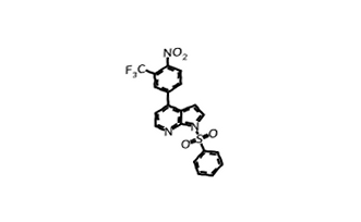 O=[N+]([O-])c1ccc(-c2ccnc3c2ccn3S(=O)(=O)c2ccccc2)cc1C(F)(F)F